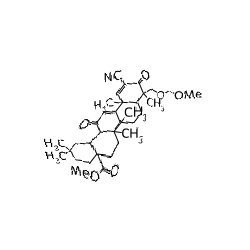 COCOCC1(C)C(=O)C(C#N)=CC2(C)C3=CC(=O)C4C5CC(C)(C)CCC5(C(=O)OC)CCC4(C)C3(C)CCC21